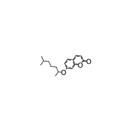 CC(C)CCCC(C)Oc1ccc2ccc(=O)oc2c1